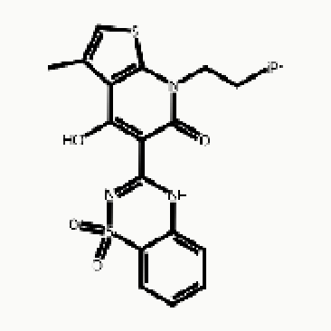 Cc1csc2c1c(O)c(C1=NS(=O)(=O)c3ccccc3N1)c(=O)n2CCC(C)C